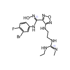 CCN/C(=N\C)NCCNc1nonc1/C(=N/O)Nc1ccc(F)c(Br)c1